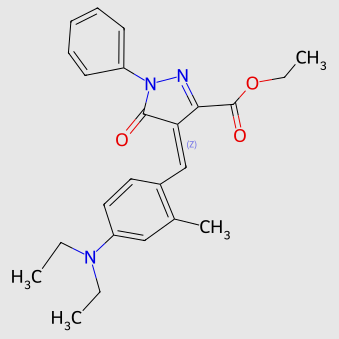 CCOC(=O)C1=NN(c2ccccc2)C(=O)/C1=C\c1ccc(N(CC)CC)cc1C